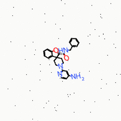 Nc1ccnc(N2CCC3(CC2)c2ccccc2O[C@@H]3C(=O)NCc2ccccc2)c1